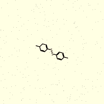 Cc1ccc(SSC2=CCC(C)C=C2)cc1